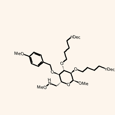 CCCCCCCCCCCCCCO[C@@H]1[C@@H](OCCCCCCCCCCCCCC)[C@@H](OC)O[C@H](CNOC)[C@H]1OCc1ccc(OC)cc1